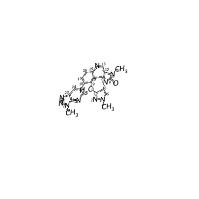 Cc1nn(C)cc1-n1c(=O)n(C)c2cnc3ccc(-c4cnc5c(c4)nnn5C)cc3c21